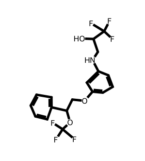 OC(CNc1cccc(OCC(OC(F)(F)F)c2ccccc2)c1)C(F)(F)F